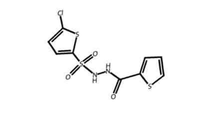 O=C(NNS(=O)(=O)c1ccc(Cl)s1)c1cccs1